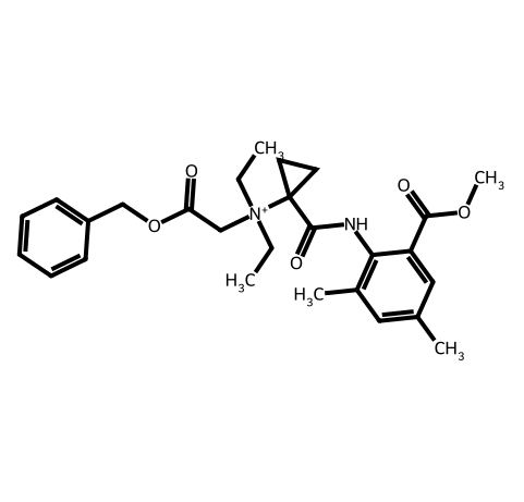 CC[N+](CC)(CC(=O)OCc1ccccc1)C1(C(=O)Nc2c(C)cc(C)cc2C(=O)OC)CC1